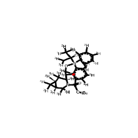 [2H]c1c([2H])c([2H])c([Si](OC([2H])([2H])[C@@]2([2H])N(C(=O)OC(C)(C)C)C([2H])([2H])[C@]3([2H])C([2H])([2H])[C@]3([2H])C2([2H])[2H])(c2c([2H])c([2H])c([2H])c([2H])c2[2H])C(C)(C([2H])[2H])C([2H])([2H])[2H])c([2H])c1[2H]